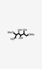 COCC(O)C(O)[C@H](O)C(CO)OC